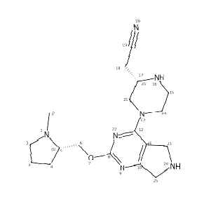 CN1CCC[C@H]1COc1nc2c(c(N3CCN[C@@H](CC#N)C3)n1)CNC2